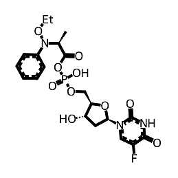 CCON(c1ccccc1)[C@@H](C)C(=O)OP(=O)(O)OC[C@H]1O[C@@H](n2cc(F)c(=O)[nH]c2=O)C[C@@H]1O